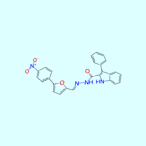 O=C(NN=Cc1ccc(-c2ccc([N+](=O)[O-])cc2)o1)c1[nH]c2ccccc2c1-c1ccccc1